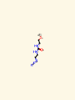 CCOCCNC(=O)NCCN=[N+]=[N-]